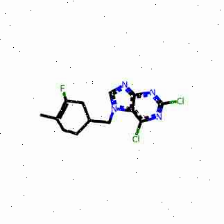 CC1=C(F)CC(Cn2cnc3nc(Cl)nc(Cl)c32)CC1